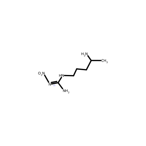 CC(N)CCCN/C(N)=N\[N+](=O)[O-]